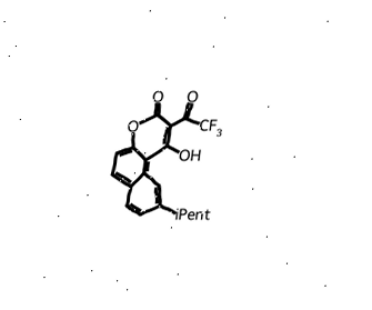 CCCC(C)c1ccc2ccc3oc(=O)c(C(=O)C(F)(F)F)c(O)c3c2c1